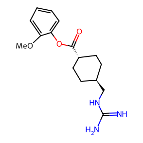 COc1ccccc1OC(=O)[C@H]1CC[C@H](CNC(=N)N)CC1